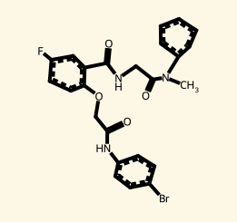 CN(C(=O)CNC(=O)c1cc(F)ccc1OCC(=O)Nc1ccc(Br)cc1)c1ccccc1